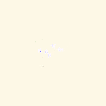 COCc1nn2c(CN3C[C@H](CC(C)(F)F)NC3=O)c(C(F)F)nc2s1